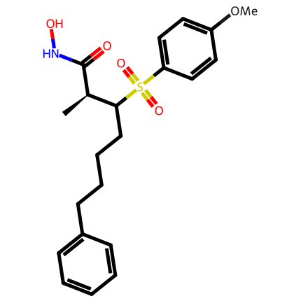 COc1ccc(S(=O)(=O)C(CCCCc2ccccc2)[C@@H](C)C(=O)NO)cc1